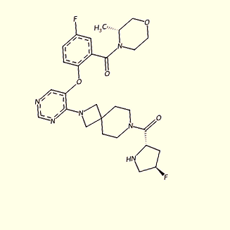 C[C@@H]1COCCN1C(=O)c1cc(F)ccc1Oc1cncnc1N1CC2(CCN(C(=O)[C@@H]3C[C@@H](F)CN3)CC2)C1